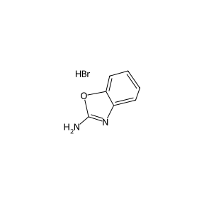 Br.Nc1nc2ccccc2o1